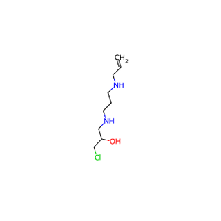 C=CCNCCCNCC(O)CCl